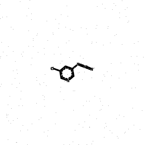 [N-]=[N+]=Nc1cncc(Cl)c1